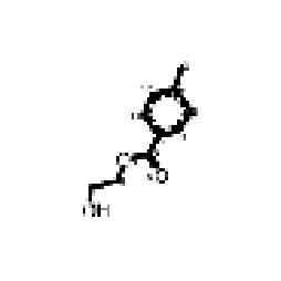 Cc1ccc(C(=O)OCCO)cc1